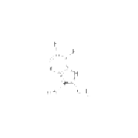 CCCn1c(C)nc2c(F)c(F)ccc21